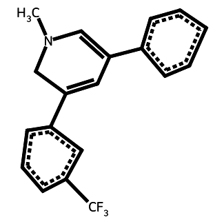 CN1C=C(c2ccccc2)C=C(c2cccc(C(F)(F)F)c2)C1